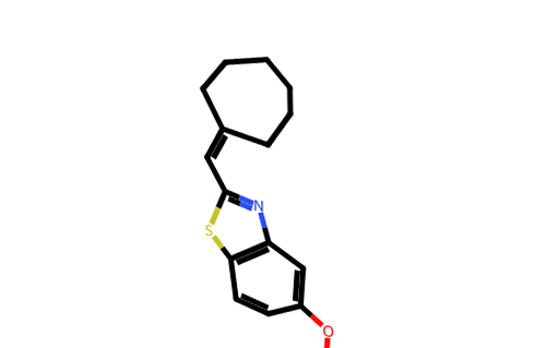 COc1ccc2sc(C=C3CCCCCC3)nc2c1